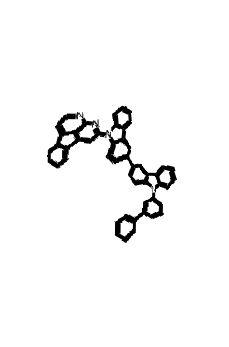 c1ccc(-c2cccc(-n3c4ccccc4c4cc(-c5ccc6c(c5)c5ccccc5n6-c5cc6c7c(ccnc7n5)-c5ccccc5-6)ccc43)c2)cc1